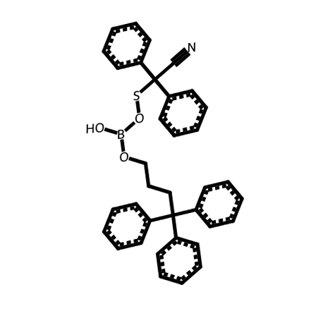 N#CC(SOB(O)OCCCC(c1ccccc1)(c1ccccc1)c1ccccc1)(c1ccccc1)c1ccccc1